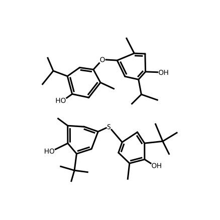 Cc1cc(O)c(C(C)C)cc1Oc1cc(C(C)C)c(O)cc1C.Cc1cc(Sc2cc(C)c(O)c(C(C)(C)C)c2)cc(C(C)(C)C)c1O